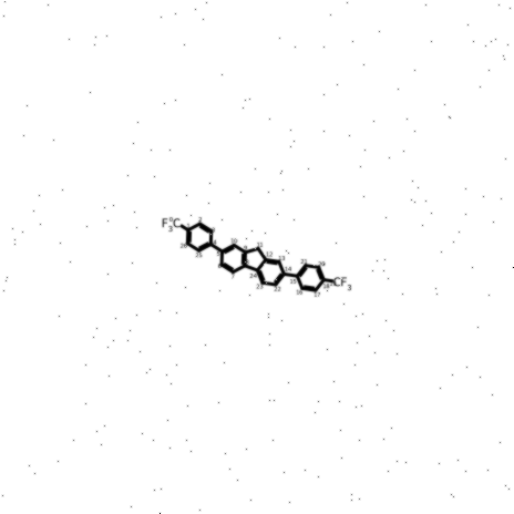 FC(F)(F)c1ccc(-c2ccc3c(c2)Cc2cc(-c4ccc(C(F)(F)F)cc4)ccc2-3)cc1